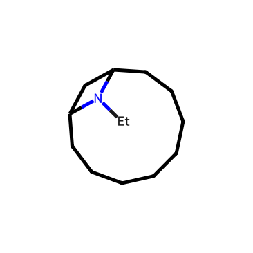 CCN1C2CCCCCCCCC1C2